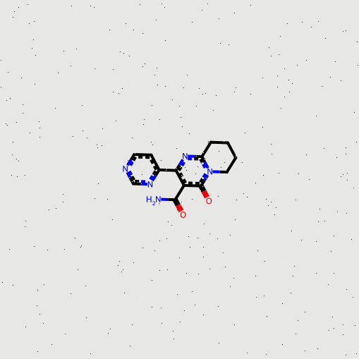 NC(=O)c1c(-c2ccncn2)nc2n(c1=O)CCC[C]2